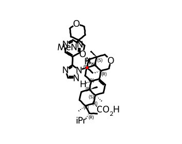 CNC1(CO[C@H]2[C@H](n3ncnc3-c3cncnc3)C[C@@]34COC[C@]2(C)[C@@H]3CC[C@H]2C4=CC[C@@]3(C)[C@H](C(=O)O)[C@@](C)([C@H](C)C(C)C)CC[C@]23C)CCOCC1